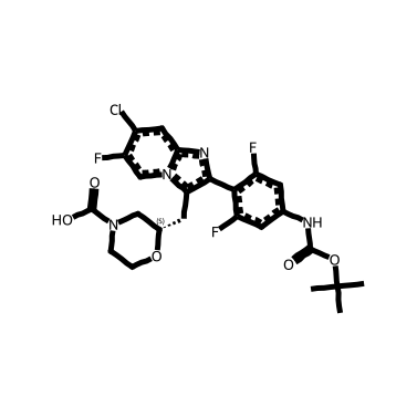 CC(C)(C)OC(=O)Nc1cc(F)c(-c2nc3cc(Cl)c(F)cn3c2C[C@H]2CN(C(=O)O)CCO2)c(F)c1